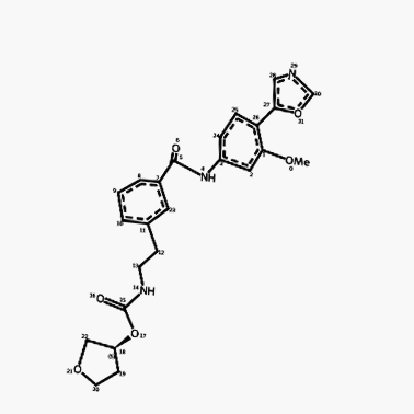 COc1cc(NC(=O)c2cccc(CCNC(=O)O[C@H]3CCOC3)c2)ccc1-c1cnco1